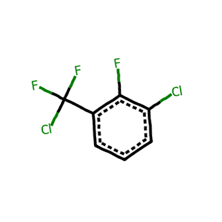 Fc1c(Cl)cccc1C(F)(F)Cl